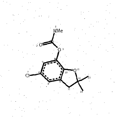 CNC(=O)Oc1cc(Cl)cc2c1OC(C)(C)C2